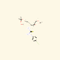 CC1(C)O[C@H]2O[C@H]([C@H]3COC(C)(C)O3)[C@@H](NC(=S)Nc3ccc(F)cc3)[C@H]2O1